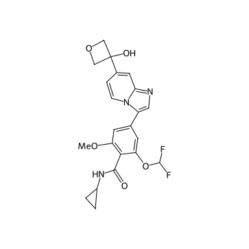 COc1cc(-c2cnc3cc(C4(O)COC4)ccn23)cc(OC(F)F)c1C(=O)NC1CC1